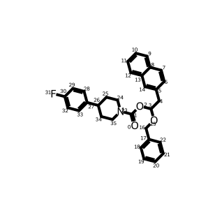 O=C(OC(Cc1ccc2ccccc2c1)OCc1ccccc1)N1CCC(c2ccc(F)cc2)CC1